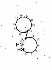 C1=C(C2=NNNCCCCCC2)CCCCCCCC1